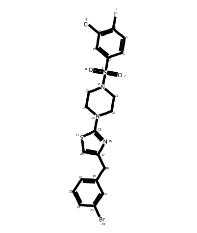 O=S(=O)(c1ccc(F)c(Cl)c1)N1CCN(c2nc(Cc3cccc(Br)c3)cs2)CC1